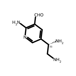 NC[C@@H](N)c1cnc(N)c(C=O)c1